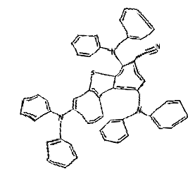 N#Cc1cc(N(c2ccccc2)c2ccccc2)c2c(sc3cc(N(c4ccccc4)c4ccccc4)ccc32)c1N(c1ccccc1)c1ccccc1